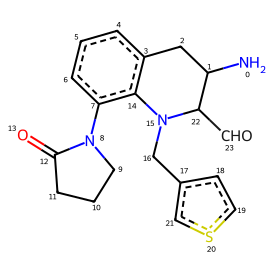 NC1Cc2cccc(N3CCCC3=O)c2N(Cc2ccsc2)C1C=O